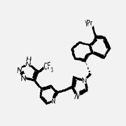 CC(C)c1cccc2c1CCC[C@H]2Cn1cnc(-c2cc(-c3nn[nH]c3C(F)(F)F)ccn2)c1